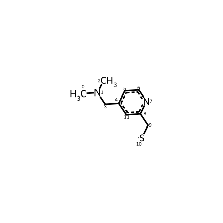 CN(C)Cc1ccnc(C[S])c1